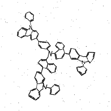 c1ccc(-n2c3ccccc3c3cc(-c4ccc(N(c5ccc(-c6ccc7c8ccccc8n(-c8ccccc8)c7c6)c6ccccc56)c5ccc(-c6ccc7c8ccccc8n(-c8ccccc8)c7c6)c6ccccc56)cc4)ccc32)cc1